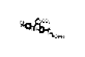 CCOc1ccc(C2Nc3ccc(C(=O)NCCOC)cc3C3C2CCN3C(=O)O)cc1